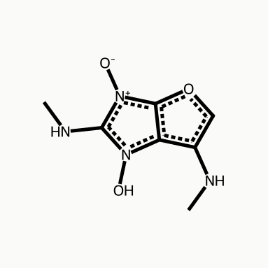 CNc1coc2c1n(O)c(NC)[n+]2[O-]